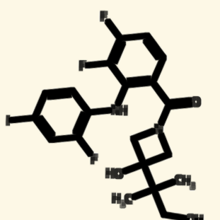 CC(C)(CO)C1(O)CN(C(=O)c2ccc(F)c(F)c2Nc2ccc(I)cc2F)C1